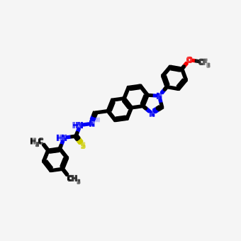 Cc1ccc(C)c(NC(=S)N/N=C/c2ccc3c(ccc4c3ncn4-c3ccc(OC(F)(F)F)cc3)c2)c1